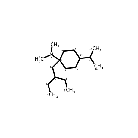 CCC(CC)CC1(N(C)C)CCC(C(C)C)CC1